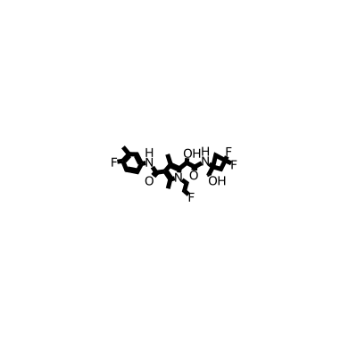 Cc1cc(NC(=O)c2c(C)c(C(O)C(=O)NC3(CO)CC(F)(F)C3)n(CCF)c2C)ccc1F